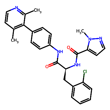 Cc1ccnc(C)c1-c1ccc(NC(=O)[C@H](Cc2ccccc2Cl)NC(=O)c2ccnn2C)cc1